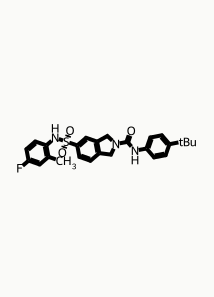 Cc1cc(F)ccc1NS(=O)(=O)c1ccc2c(c1)CN(C(=O)Nc1ccc(C(C)(C)C)cc1)C2